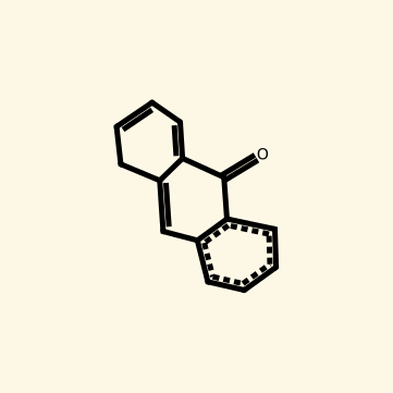 O=C1C2=CC=CCC2=Cc2ccccc21